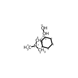 C1CCCCC1.CN(C)C.OO